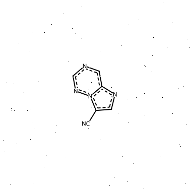 N#Cc1cnc2cncnn12